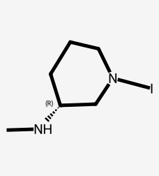 CN[C@@H]1CCCN(I)C1